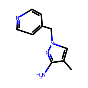 Cc1cn(Cc2ccncc2)nc1N